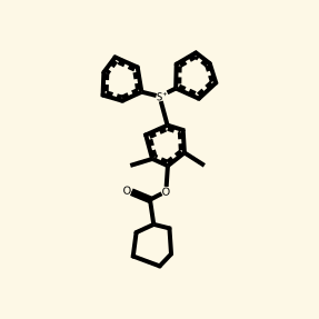 Cc1cc([S+](c2ccccc2)c2ccccc2)cc(C)c1OC(=O)C1CCCCC1